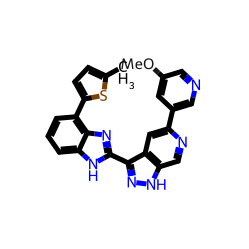 COc1cncc(-c2cc3c(-c4nc5c(-c6ccc(C)s6)cccc5[nH]4)n[nH]c3cn2)c1